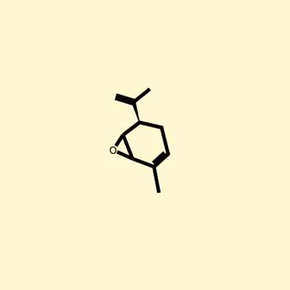 C=C(C)[C@H]1CC=C(C)C2OC21